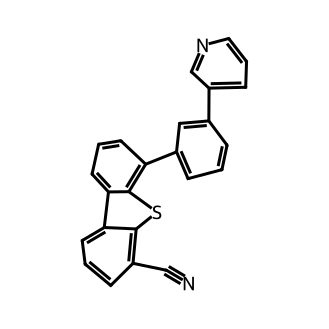 N#Cc1cccc2c1sc1c(-c3cccc(-c4cccnc4)c3)cccc12